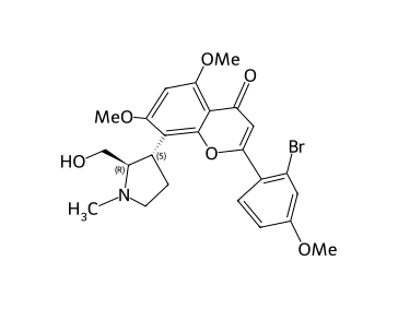 COc1ccc(-c2cc(=O)c3c(OC)cc(OC)c([C@@H]4CCN(C)[C@H]4CO)c3o2)c(Br)c1